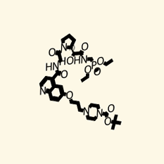 CCOP(=O)(CNC(=O)C(O)[C@@H]1CCCN1C(=O)CNC(=O)c1ccnc2ccc(OCCCN3CCN(C(=O)OC(C)(C)C)CC3)cc12)OCC